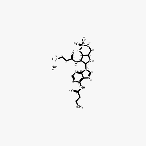 CCCC(=O)Nc1ncnc2c1ncn2C1OC2COP(=O)([O-])OC2C1OC(=O)CCC.[Na+]